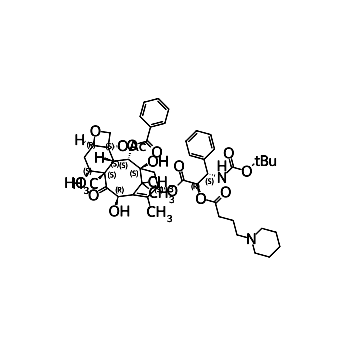 CC(=O)O[C@@]12CO[C@@H]1C[C@H](O)[C@@]1(C)C(=O)[C@H](O)C3=C(C)[C@@H](OC(=O)[C@H](OC(=O)CCCN4CCCCC4)[C@@H](NC(=O)OC(C)(C)C)c4ccccc4)C[C@@](O)([C@@H](OC(=O)c4ccccc4)[C@@H]21)C3(C)C